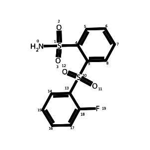 NS(=O)(=O)c1ccccc1S(=O)(=O)c1ccccc1F